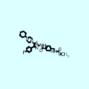 COC(=O)NCc1ccc(C(=O)Nc2nc(-c3ccc(F)cc3)c(N3CCN(C4CCCCC4)CC3)s2)cc1